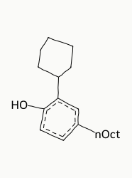 CCCCCCCCc1ccc(O)c(C2CCCCC2)c1